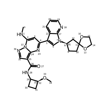 CNc1cc(-c2cn([C@@H]3CCC4(C3)OCCO4)c3ncccc23)nc2c(C(=O)NC3CC[C@@H]3OC)cnn12